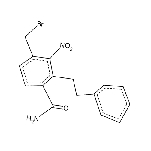 NC(=O)c1ccc(CBr)c([N+](=O)[O-])c1CCc1ccccc1